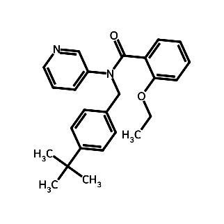 CCOc1ccccc1C(=O)N(Cc1ccc(C(C)(C)C)cc1)c1cccnc1